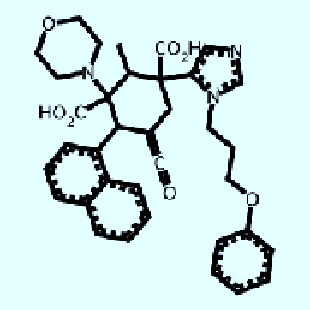 CC1C(C(=O)O)(c2cncn2CCCOc2ccccc2)CC(=C=O)C(c2cccc3ccccc23)C1(C(=O)O)N1CCOCC1